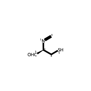 C=N[C@H](C=O)CS